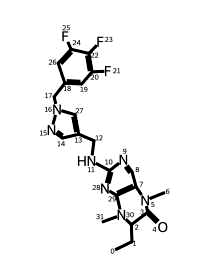 CCC1C(=O)N(C)c2cnc(NCc3cnn(Cc4cc(F)c(F)c(F)c4)c3)nc2N1C